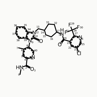 CNC(=O)c1cc(C)c(-n2c(=O)n(CC3CCC(NC(=O)c4cc(Cl)cnc4C(F)(F)F)CC3)c3ccccc32)cn1